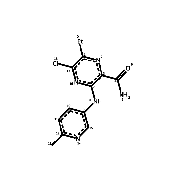 CCc1nc(C(N)=O)c(Nc2ccc(C)nc2)nc1Cl